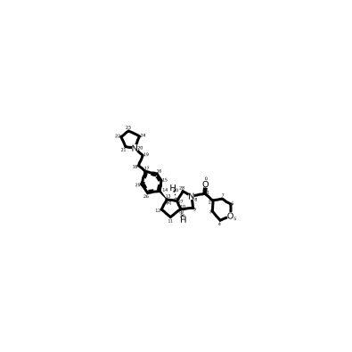 O=C(C1CCOCC1)N1C[C@H]2CC[C@@H](c3ccc(CCN4CCCC4)cc3)[C@H]2C1